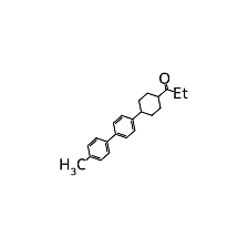 CCC(=O)C1CCC(c2ccc(-c3ccc(C)cc3)cc2)CC1